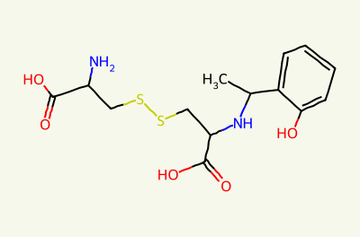 CC(NC(CSSCC(N)C(=O)O)C(=O)O)c1ccccc1O